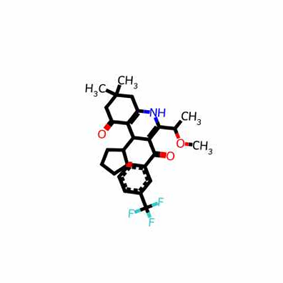 COC(C)C1=C(C(=O)c2cccc(C(F)(F)F)c2)C(C2CCCC2)C2=C(CC(C)(C)CC2=O)N1